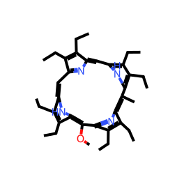 CCC1=C(CC)c2cc3[nH]c(c(CC)c3CC)c(OC)c3nc(c(C)c4[nH]c(cc1n2)c(CC)c4CC)C(CC)=C3CC